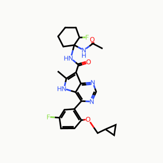 CC(=O)NC1(NC(=O)c2c(C)[nH]c3c(-c4cc(F)ccc4OCC4CC4)ncnc23)CCCCC1F